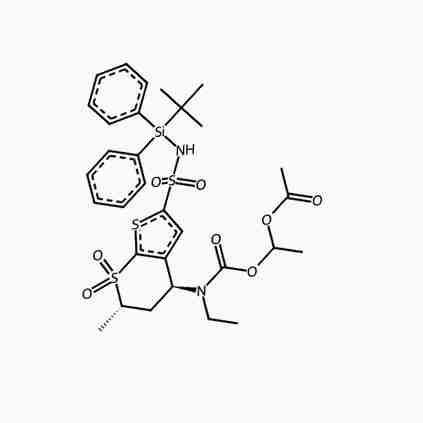 CCN(C(=O)OC(C)OC(C)=O)[C@H]1C[C@H](C)S(=O)(=O)c2sc(S(=O)(=O)N[Si](c3ccccc3)(c3ccccc3)C(C)(C)C)cc21